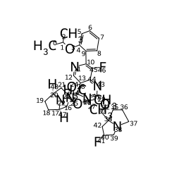 CC(C)Oc1ccccc1-c1ncc2c(N3C[C@H]4CC[C@@H](C3)N4C(=O)OC(C)(C)C)nc(OCC34CCCN3CC(F)C4)nc2c1F